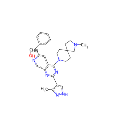 Cc1n[nH]cc1-c1nc(N2CCC3(CCN(C)C3)CC2)c2cc(Cc3ccccc3)ncc2n1.O=CO